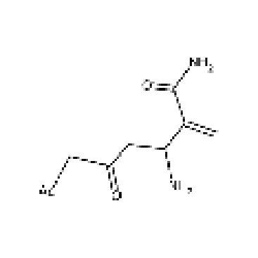 C=C(C(N)=O)C(N)CC(=O)CC(C)=O